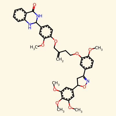 C=C(CCOc1cc(C2=NOC(c3cc(OC)c(OC)c(OC)c3)C2)ccc1OC)COc1ccc(C2NC(=O)c3ccccc3N2)cc1OC